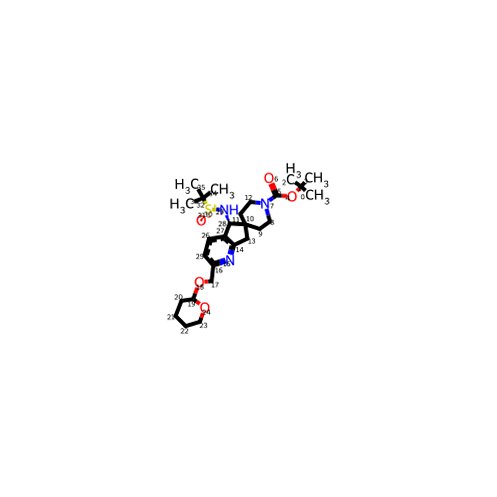 CC(C)(C)OC(=O)N1CCC2(CC1)Cc1nc(COC3CCCCO3)ccc1[C@H]2N[S@+]([O-])C(C)(C)C